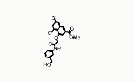 COC(=O)c1cc(OCC(=O)Nc2cccc(CO)c2)c2c(Cl)cc(Cl)cc2c1